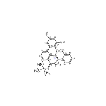 CC1=CC(C)(C)Nc2ccc3c(c21)/C(=C/c1ccccc1Cl)Oc1c(F)cc(F)cc1-3